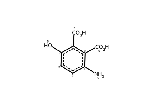 Nc1ccc(O)c(C(=O)O)c1C(=O)O